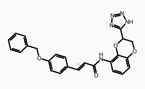 O=C(/C=C/c1ccc(OCc2ccccc2)cc1)Nc1cccc2c1OC(c1nnn[nH]1)CO2